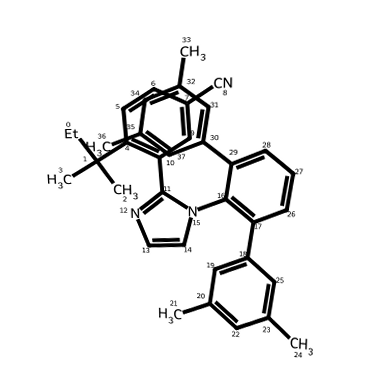 CCC(C)(C)c1ccc(C#N)cc1-c1nccn1-c1c(-c2cc(C)cc(C)c2)cccc1-c1cc(C)cc(C)c1